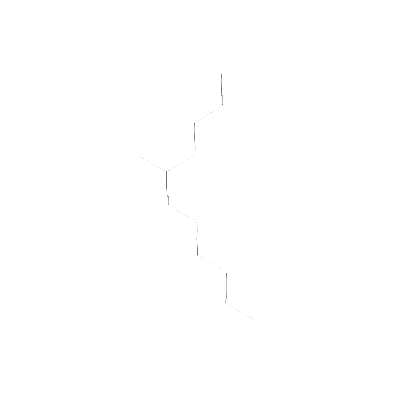 CCCCCC[C](C)CCCC